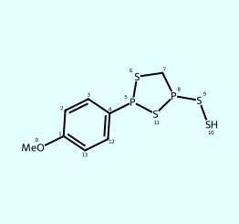 COc1ccc(P2SCP(SS)S2)cc1